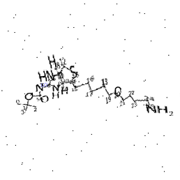 CC(C)(C)OC(=O)/N=C1\N[C@H]2[C@H](CS[C@H]2CCCCCOCCCCN)N1